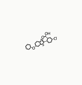 O=C(O)c1cc(Cl)ccc1-c1nc2ccc(Oc3ccccc3)cc2s1